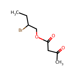 CCC(Br)COC(=O)CC(C)=O